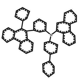 c1ccc(-c2ccc(N(c3cccc(-c4c(-c5ccccc5)c5ccccc5c5ccccc45)c3)c3cc4ccccc4c4ccccc34)cc2)cc1